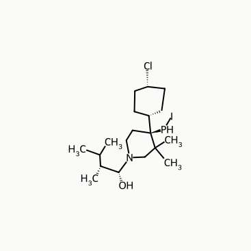 CC(C)[C@@H](C)[C@@H](O)N1CC[C@](PI)([C@H]2CC[C@@H](Cl)CC2)C(C)(C)C1